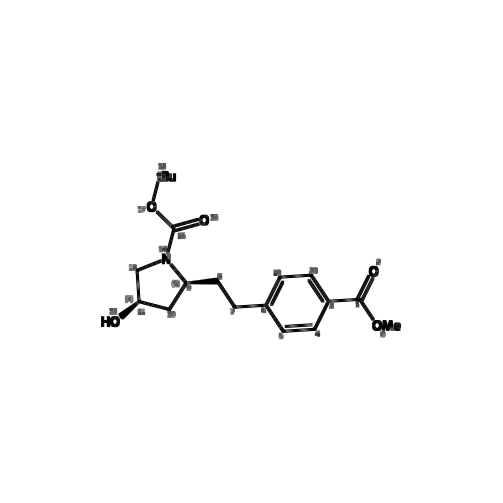 COC(=O)c1ccc(CC[C@H]2C[C@@H](O)CN2C(=O)OC(C)(C)C)cc1